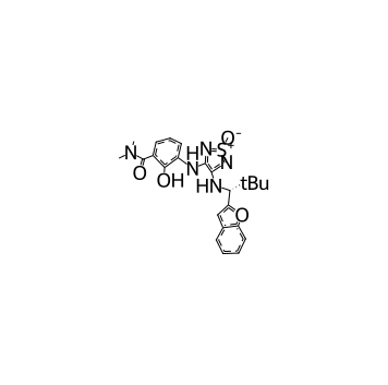 CN(C)C(=O)c1cccc(Nc2n[s+]([O-])nc2N[C@@H](c2cc3ccccc3o2)C(C)(C)C)c1O